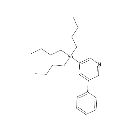 CCC[CH2][Sn]([CH2]CCC)([CH2]CCC)[c]1cncc(-c2ccccc2)c1